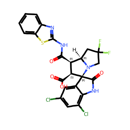 O=C(Nc1nc2ccccc2s1)[C@H]1[C@H]2CC(F)(F)CN2[C@]2(C(=O)Nc3c(Cl)cc(Cl)cc32)[C@H]1C(=O)O